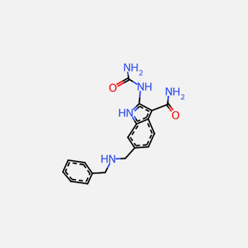 NC(=O)Nc1[nH]c2cc(CNCc3ccccc3)ccc2c1C(N)=O